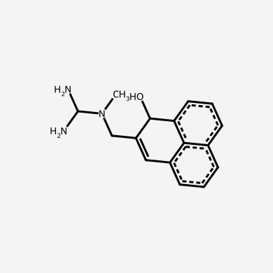 CN(CC1=Cc2cccc3cccc(c23)C1O)C(N)N